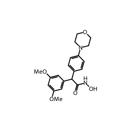 COc1cc(OC)cc(C(C(=O)NO)c2ccc(N3CCOCC3)cc2)c1